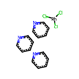 [Cl][Rh]([Cl])[Cl].c1ccncc1.c1ccncc1.c1ccncc1